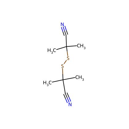 CC(C)(C#N)SSC(C)(C)C#N